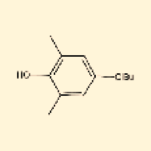 Cc1cc(OCC(C)C)cc(C)c1O